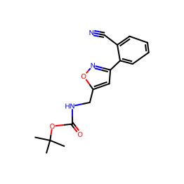 CC(C)(C)OC(=O)NCc1cc(-c2ccccc2C#N)no1